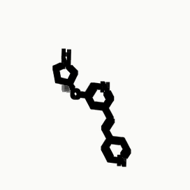 C(=Cc1cncc(O[C@H]2CCNC2)c1)c1ccncc1